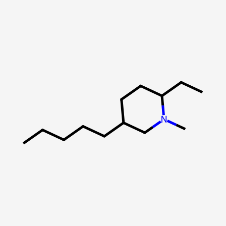 CCCCCC1CCC(CC)N(C)C1